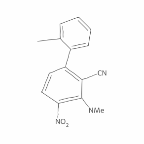 CNc1c([N+](=O)[O-])ccc(-c2ccccc2C)c1C#N